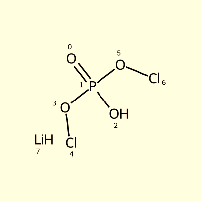 O=P(O)(OCl)OCl.[LiH]